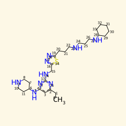 CCc1cc(NC2CCNCC2)nc(NCc2nnc(CCCNCCCNC3CCCCC3)s2)n1